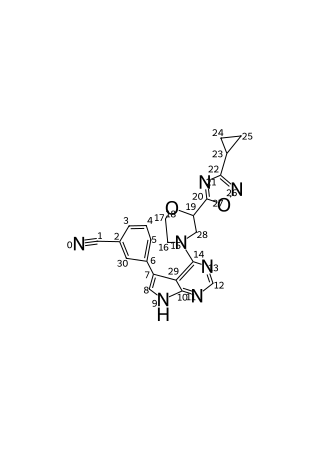 N#Cc1cccc(-c2c[nH]c3ncnc(N4CCOC(c5nc(C6CC6)no5)C4)c23)c1